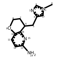 Cn1cnc(CC2CCOc3ccc(N)nc32)c1